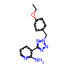 CCOc1ccc(Cn2nnc(-c3cccnc3N)n2)cc1